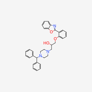 OC(COc1ccccc1-c1nc2ccccc2o1)CN1CCN(C(c2ccccc2)c2ccccc2)CC1